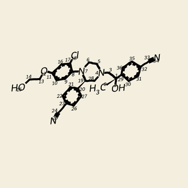 C[C@@](O)(CN1CCN(c2ccc(OCCO)cc2Cl)[C@H](c2ccc(C#N)cc2)C1)c1ccc(C#N)cc1